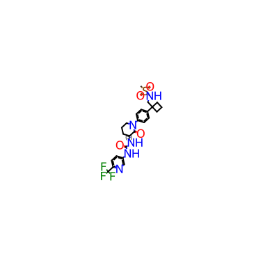 CS(=O)(=O)NCC1(c2ccc(N3CCC[C@H](NC(=O)Nc4ccc(C(F)(F)F)nc4)C3=O)cc2)CCC1